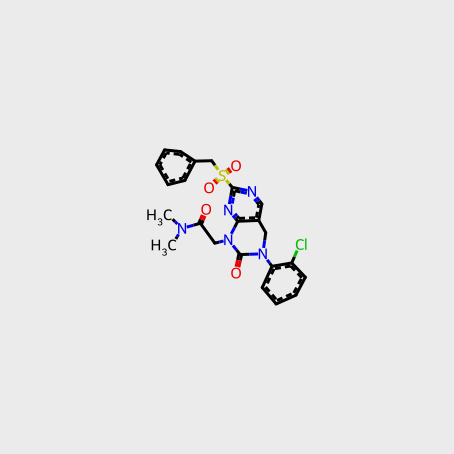 CN(C)C(=O)CN1C(=O)N(c2ccccc2Cl)Cc2cnc(S(=O)(=O)Cc3ccccc3)nc21